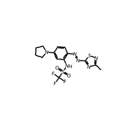 Cc1nsc(N=Nc2ccc(N3CCCC3)cc2NS(=O)(=O)C(F)(F)F)n1